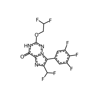 O=c1[nH]c(OCC(F)F)nn2c(-c3cc(F)c(F)c(F)c3)c(C(F)F)nc12